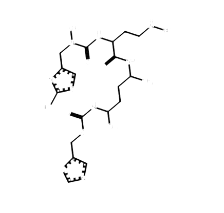 BNCCC(NC(=O)N(C)Cc1csc(C(C)C)n1)C(=O)NC(C)CCC(C)NC(=O)OCc1cncs1